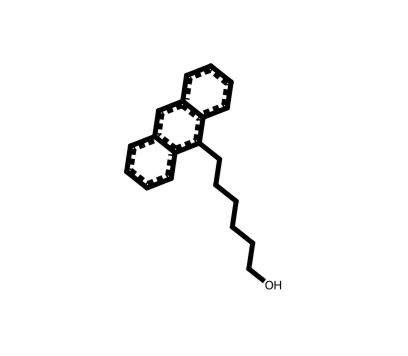 OCCCCCCc1c2ccccc2cc2ccccc12